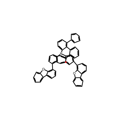 c1ccc(-c2ccccc2-c2c(-c3ccccc3)cccc2N(c2ccc(-c3cccc4c3oc3ccccc34)cc2)c2cccc(-c3cccc4c3oc3ccccc34)c2)cc1